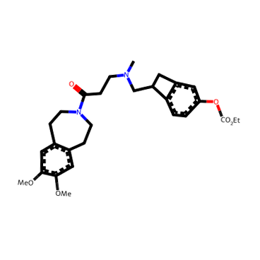 CCOC(=O)Oc1ccc2c(c1)CC2CN(C)CCC(=O)N1CCc2cc(OC)c(OC)cc2CC1